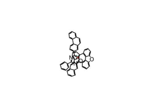 c1ccc(-c2nc(-c3ccc4c(ccc5ccccc54)c3)nc(-c3cccc4oc5cccc(-c6cccc7c6oc6cc8ccccc8cc67)c5c34)n2)cc1